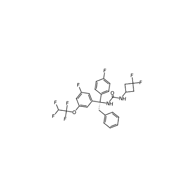 O=C(NC1CC(F)(F)C1)N[C@](Cc1ccccc1)(c1ccc(F)cc1)c1cc(F)cc(OC(F)(F)C(F)F)c1